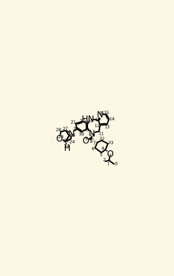 CC(C)O[C@H]1CC[C@H](C(=O)N2Cc3cccnc3Nc3ccc(N4C[C@H]5CC4CO5)cc32)CC1